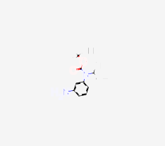 CC(C)N(C(=O)OC(C)(C)C)c1cccc(N)c1